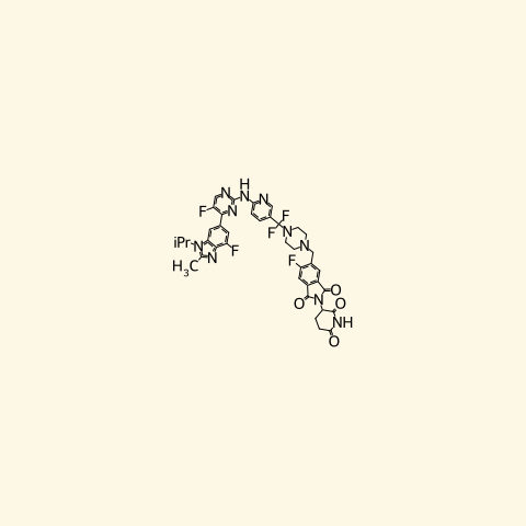 Cc1nc2c(F)cc(-c3nc(Nc4ccc(C(F)(F)N5CCN(Cc6cc7c(cc6F)C(=O)N(C6CCC(=O)NC6=O)C7=O)CC5)cn4)ncc3F)cc2n1C(C)C